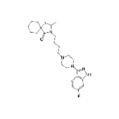 CC1SC2(CCCCC2)C(=O)N1CCCCN1CCN(c2n[nH]c3cc(F)ccc23)CC1